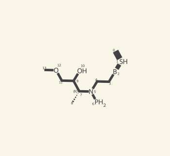 C#[SH]=BCCN(P)[C@H](C)C(O)COC